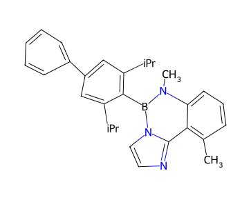 Cc1cccc2c1-c1nccn1B(c1c(C(C)C)cc(-c3ccccc3)cc1C(C)C)N2C